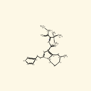 CNC(=O)/C(=N/C(=O)c1nc(CCc2ccsc2)n2c1CN(C)CCC2)C(C)(C)C